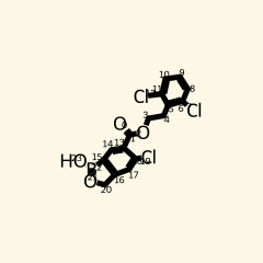 O=C(OCCc1c(Cl)cccc1Cl)c1cc2c(cc1Cl)COB2O